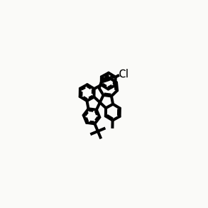 CC1=CC2C(C=C1)C1=C(CC#CC=C1)C21c2cc(C(C)(C)C)ccc2-c2cccc(-c3ccc(Cl)cc3)c21